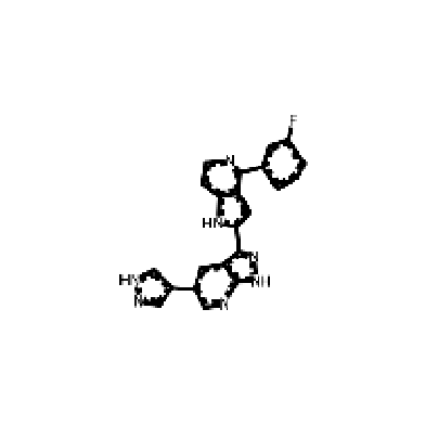 Fc1cccc(-c2nccc3[nH]c(-c4n[nH]c5ncc(-c6cn[nH]c6)cc45)cc23)c1